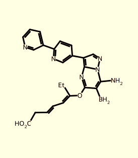 Bc1c(O/C(=C/C=C/CC(=O)O)CC)nc2c(-c3ccc(-c4cccnc4)nc3)cnn2c1N